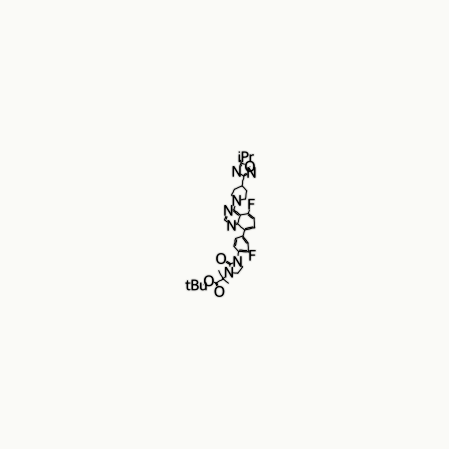 CC(C)c1nc(C2CCN(c3ncnc4c(-c5ccc(N6CCN(C(C)(C)C(=O)OC(C)(C)C)C6=O)c(F)c5)ccc(F)c34)CC2)no1